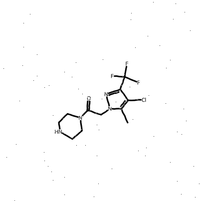 Cc1c(Cl)c(C(F)(F)F)nn1CC(=O)N1CCNCC1